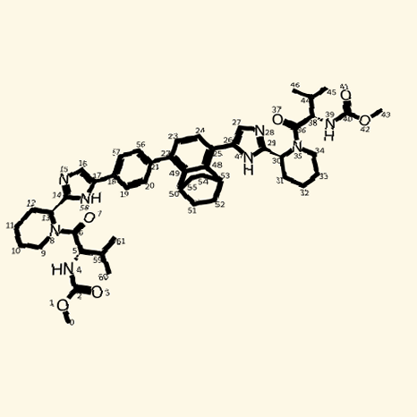 COC(=O)N[C@H](C(=O)N1CCCC[C@H]1c1ncc(-c2ccc(-c3ccc(-c4cnc([C@@H]5CCCCN5C(=O)[C@@H](NC(=O)OC)C(C)C)[nH]4)c4c3C3CCC4CC3)cc2)[nH]1)C(C)C